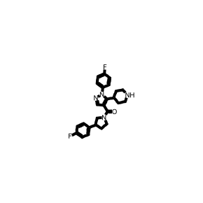 O=C(c1cnn(-c2ccc(F)cc2)c1C1CCNCC1)N1CCC(c2ccc(F)cc2)C1